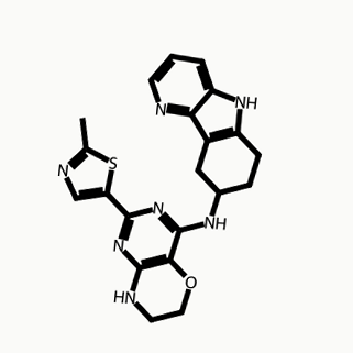 Cc1ncc(-c2nc3c(c(NC4CCc5[nH]c6cccnc6c5C4)n2)OCCN3)s1